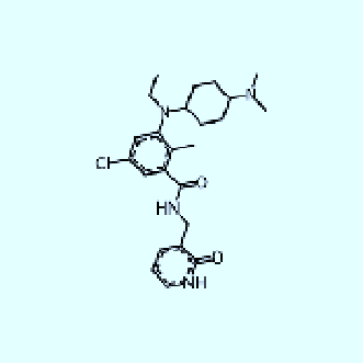 CCN(c1cc(Cl)cc(C(=O)NCc2ccc[nH]c2=O)c1C)C1CCC(N(C)C)CC1